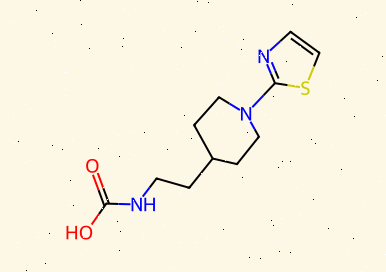 O=C(O)NCCC1CCN(c2nccs2)CC1